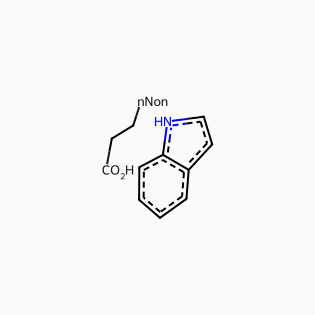 CCCCCCCCCCCC(=O)O.c1ccc2[nH]ccc2c1